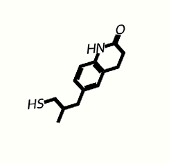 CC(CS)Cc1ccc2c(c1)CCC(=O)N2